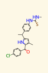 CNC(=S)Nc1ccc(C(C)c2cc(C)c(C(=O)c3ccc(Cl)cc3)[nH]2)cc1